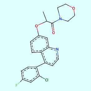 CC(Oc1ccc2c(-c3ccc(F)cc3Cl)ccnc2c1)C(=O)N1CCOCC1